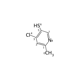 Cc1cc(Cl)c(S)cn1